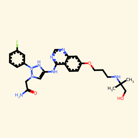 CC(C)(CO)NCCCOc1ccc2c(NC3=CN(CC(N)=O)N(c4cccc(F)c4)N3)ncnc2c1